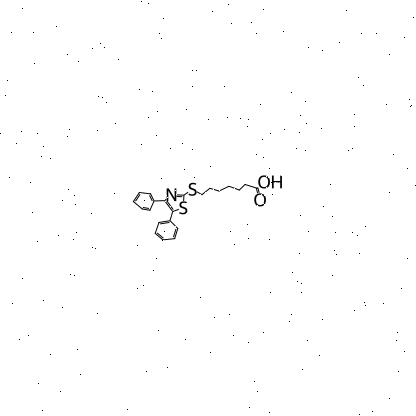 O=C(O)CCCCCCSc1nc(-c2ccccc2)c(-c2ccccc2)s1